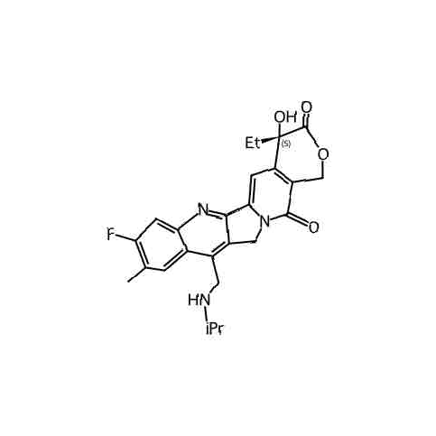 CC[C@@]1(O)C(=O)OCc2c1cc1n(c2=O)Cc2c-1nc1cc(F)c(C)cc1c2CNC(C)C